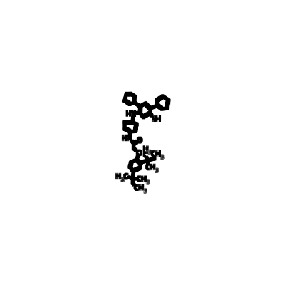 CCC(C)(C)c1ccc(OCC(=O)Nc2ccc(Nc3cc(S)c(-c4ccccc4)cc3-c3ccccc3)cc2)c(C(C)(C)CC)c1